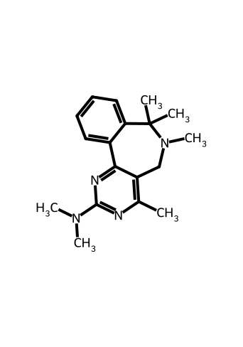 Cc1nc(N(C)C)nc2c1CN(C)C(C)(C)c1ccccc1-2